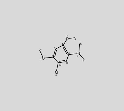 COc1cc(OC)c(N(C)C)cc1Cl